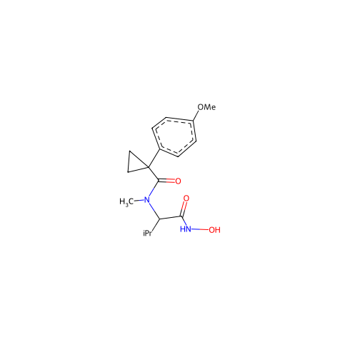 COc1ccc(C2(C(=O)N(C)C(C(=O)NO)C(C)C)CC2)cc1